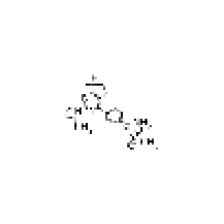 C[C@H]1CCN1c1nc(-c2ccc([C@H](N)CS(C)(=O)=O)cc2)c2c(n1)C(F)(F)CC2